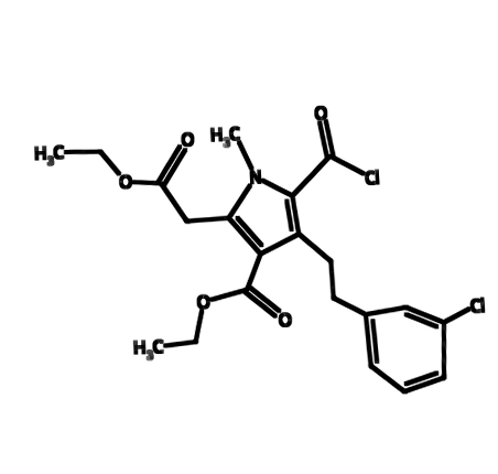 CCOC(=O)Cc1c(C(=O)OCC)c(CCc2cccc(Cl)c2)c(C(=O)Cl)n1C